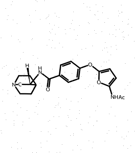 CC(=O)Nc1ccc(Oc2ccc(C(=O)N[C@H]3CN4CCC3CC4)cc2)o1